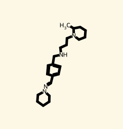 CC1CCCCN1CCCNCc1ccc(/C=N/N2CCCCC2)cc1